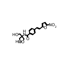 O=C(NC(CO)(CO)CO)c1ccc(C=Cc2ccc([N+](=O)[O-])o2)cc1